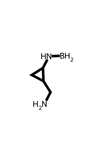 BNC1CC1CN